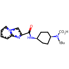 CC(C)(C)N(C(=O)O)[C@H]1CC[C@@H](NC(=O)c2cn3ccccc3n2)CC1